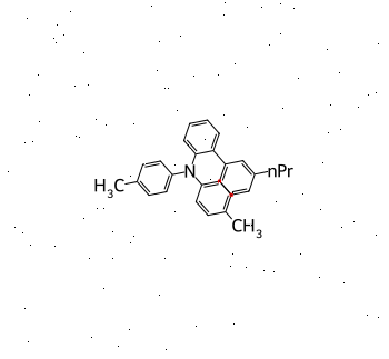 CCCc1cccc(-c2ccccc2N(c2ccc(C)cc2)c2ccc(C)cc2)c1